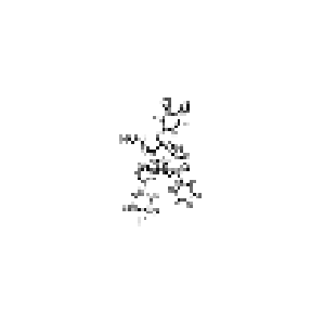 N#CCO[C@@H]1[C@@H](n2cc(-c3cc(F)c(F)c(F)c3)nn2)[C@H]2OC(c3ccccc3)OC[C@H]2O[C@@H]1Sc1ccc(Cl)c(Cl)c1